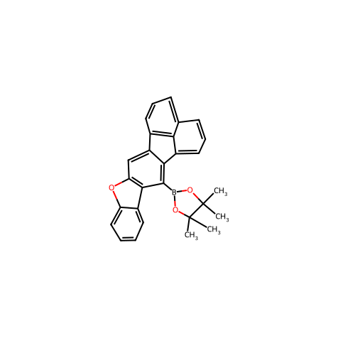 CC1(C)OB(c2c3c(cc4oc5ccccc5c24)-c2cccc4cccc-3c24)OC1(C)C